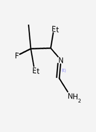 CCC(/N=C/N)C(C)(F)CC